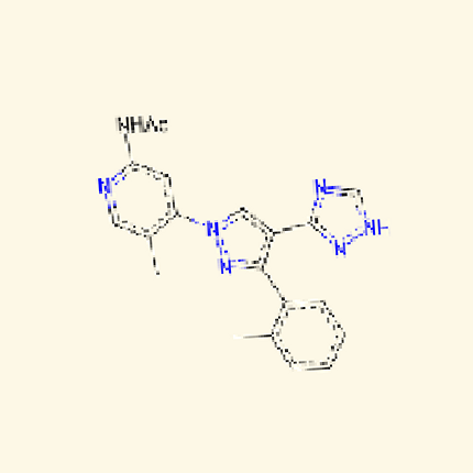 CC(=O)Nc1cc(-n2cc(-c3nc[nH]n3)c(-c3ccccc3C)n2)c(C)cn1